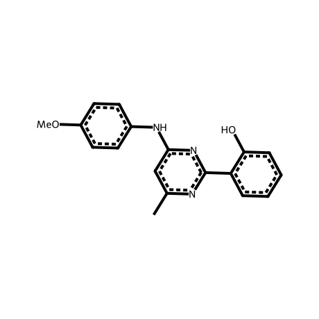 COc1ccc(Nc2cc(C)nc(-c3ccccc3O)n2)cc1